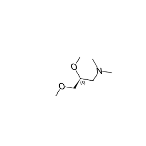 COC[C@H](CN(C)C)OC